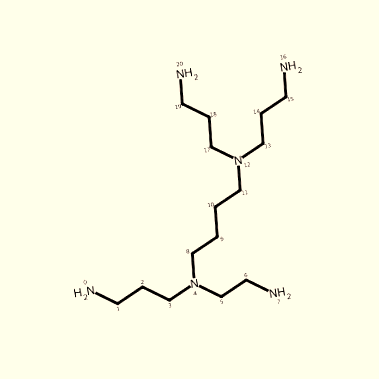 NCCCN(CCN)CCCCN(CCCN)CCCN